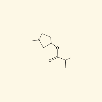 CC(C)C(=O)OC1CCN(C)C1